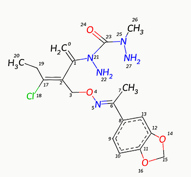 C=C(/C(CON=C(C)c1ccc2c(c1)OCO2)=C(/Cl)CC)N(N)C(=O)N(C)N